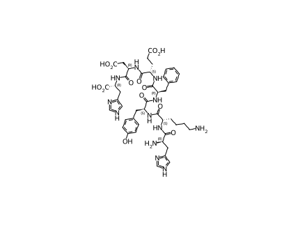 NCCCC[C@H](NC(=O)[C@H](N)Cc1c[nH]cn1)C(=O)N[C@@H](Cc1ccc(O)cc1)C(=O)N[C@H](Cc1ccccc1)C(=O)N[C@@H](CCC(=O)O)C(=O)N[C@H](CC(=O)O)C(=O)N[C@H](Cc1c[nH]cn1)C(=O)O